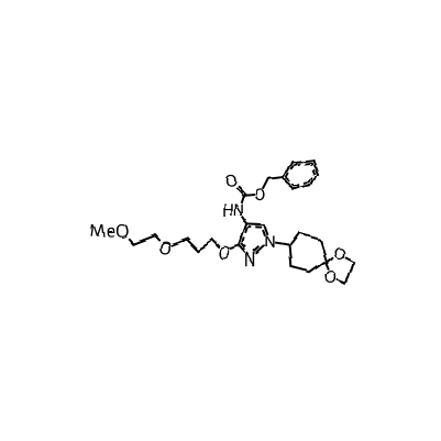 COCCOCCCOc1nn(C2CCC3(CC2)OCCO3)cc1NC(=O)OCc1ccccc1